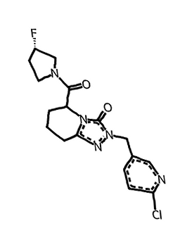 O=C(C1CCCc2nn(Cc3ccc(Cl)nc3)c(=O)n21)N1CC[C@H](F)C1